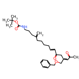 C=C(CCCC/C=C/C(=O)C/C(=C\C(C)=O)COCc1ccccc1)CCCNC(=O)OC(C)(C)C